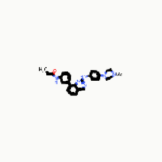 C=CC(=O)Nc1cccc(-c2cccc3cnc(Nc4ccc(N5CCN(C(C)=O)CC5)cc4)nc23)c1